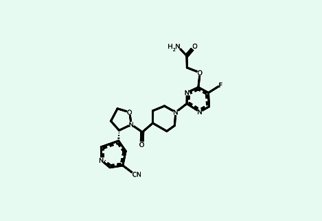 N#Cc1cncc([C@@H]2CCON2C(=O)C2CCN(c3ncc(F)c(OCC(N)=O)n3)CC2)c1